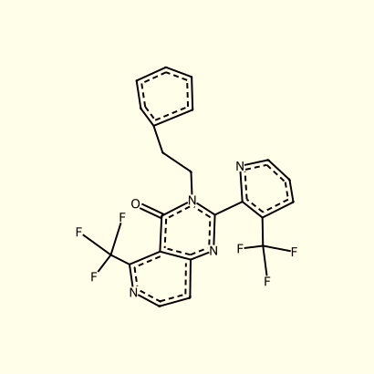 O=c1c2c(C(F)(F)F)nccc2nc(-c2ncccc2C(F)(F)F)n1CCc1ccccc1